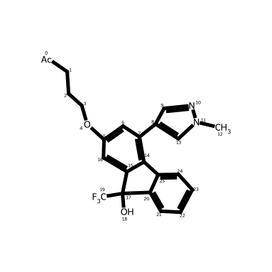 CC(=O)CCCOc1cc(-c2cnn(C)c2)c2c(c1)C(O)(C(F)(F)F)c1ccccc1-2